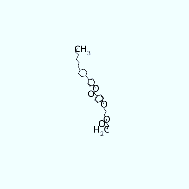 C=CC(=O)OCCCOc1ccc(C(=O)Oc2ccc(C3CCC(CCCCCC)CC3)cc2)cc1